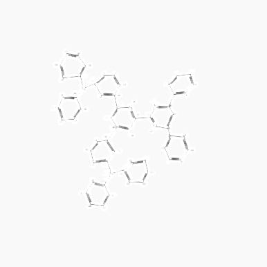 c1ccc(-c2cc(-c3ccccc3)nc(-c3nc(-c4cccc(N(c5ccccc5)c5ccccc5)c4)cc(-c4cccc(N(c5ccccc5)c5ccccc5)c4)n3)n2)cc1